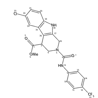 COC(=O)C1CN(C(=O)Nc2ccc(C(F)(F)F)cc2)Cc2[nH]c3ccc(Cl)cc3c21